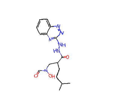 CC(C)CCC(CN(O)C=O)C(=O)NNc1nnc2ccccc2n1